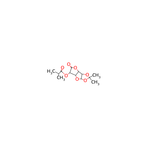 CC(C)C(=O)OC1C(=O)OC2C3OC(C)(C)OC3OC12